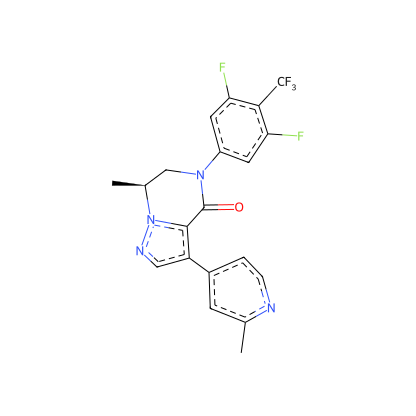 Cc1cc(-c2cnn3c2C(=O)N(c2cc(F)c(C(F)(F)F)c(F)c2)C[C@@H]3C)ccn1